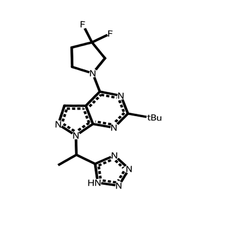 CC(c1nnn[nH]1)n1ncc2c(N3CCC(F)(F)C3)nc(C(C)(C)C)nc21